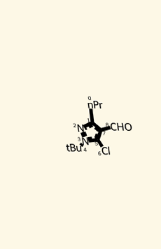 CCCc1nn(C(C)(C)C)c(Cl)c1C=O